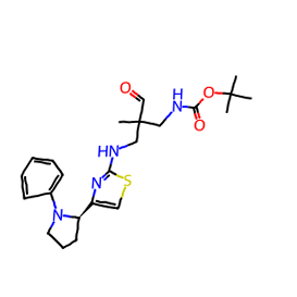 CC(C=O)(CNC(=O)OC(C)(C)C)CNc1nc([C@H]2CCCN2c2ccccc2)cs1